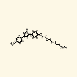 COCCOCCOCCOc1ccc(-c2cc(-c3ccc(N)cc3)n[nH]2)cc1